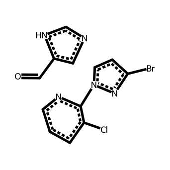 Clc1cccnc1-n1ccc(Br)n1.O=Cc1cnc[nH]1